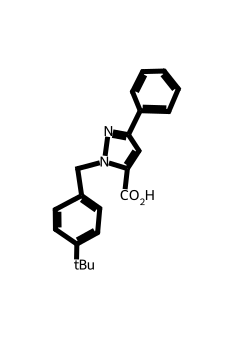 CC(C)(C)c1ccc(Cn2nc(-c3ccccc3)cc2C(=O)O)cc1